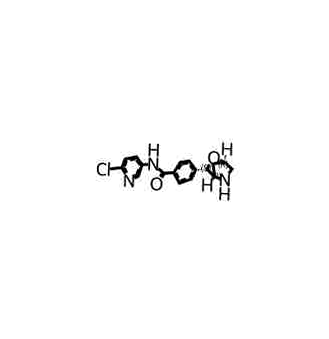 O=C(Nc1ccc(Cl)nc1)c1ccc([C@@H]2O[C@H]3CN[C@@H]2C3)cc1